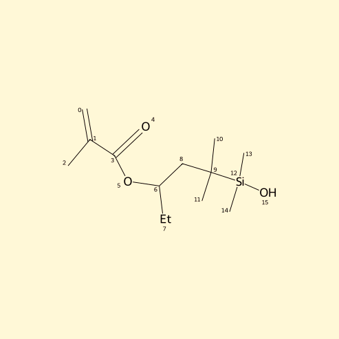 C=C(C)C(=O)OC(CC)CC(C)(C)[Si](C)(C)O